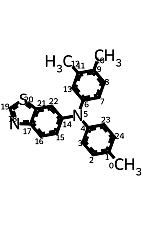 Cc1ccc(N(c2ccc(C)c(C)c2)c2ccc3ncsc3c2)cc1